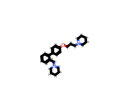 c1ccc(-c2ccc(OCCCN3CCCCC3)cc2)c(CN2CCCCC2)c1